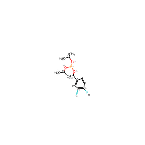 CC(C)OP(OCc1ccc(F)c(F)c1)OC(C)C